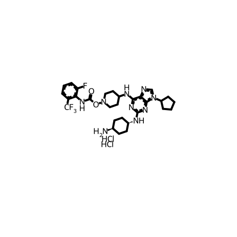 Cl.Cl.N[C@H]1CC[C@H](Nc2nc(NC3CCN(OC(=O)Nc4c(F)cccc4C(F)(F)F)CC3)c3ncn(C4CCCC4)c3n2)CC1